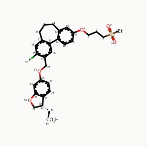 CCS(=O)(=O)CCCOc1ccc2c(c1)CCCc1cc(F)c(COc3ccc4c(c3)OC[C@H]4CC(=O)O)cc1-2